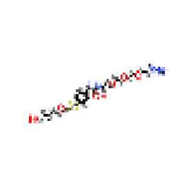 [N-]=[N+]=NCCOCCOCCOCCNC(O)Cc1ccc(SSCOCCCCO)cc1